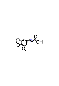 COc1cc(/C=C/C(=O)O)cc2c1OCO2